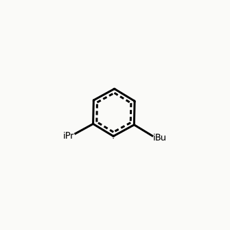 CCC(C)c1[c]c(C(C)C)ccc1